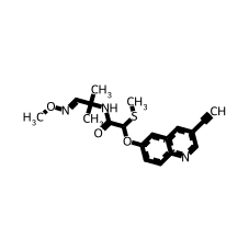 C#Cc1cnc2ccc(OC(SC)C(=O)NC(C)(C)C=NOC)cc2c1